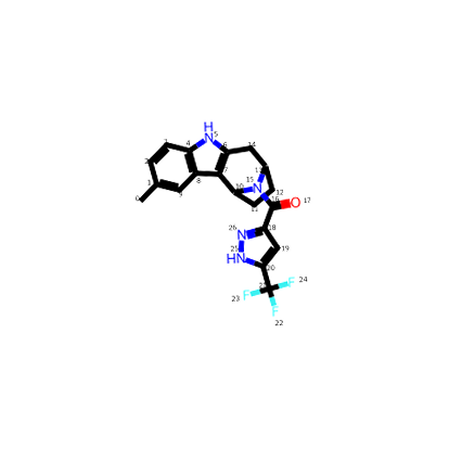 Cc1ccc2[nH]c3c(c2c1)C1CCC(C3)N1C(=O)c1cc(C(F)(F)F)[nH]n1